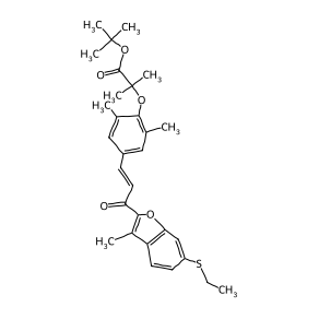 CCSc1ccc2c(C)c(C(=O)/C=C/c3cc(C)c(OC(C)(C)C(=O)OC(C)(C)C)c(C)c3)oc2c1